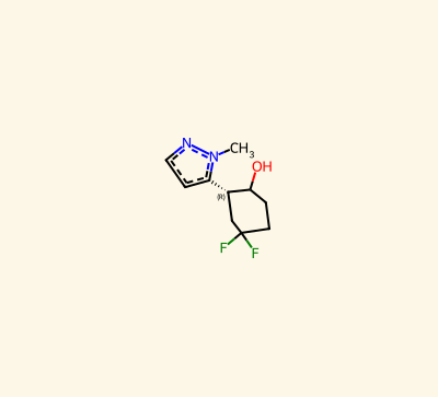 Cn1nccc1[C@H]1CC(F)(F)CCC1O